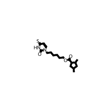 CC1CC(C)C(C(=O)OCCCCCCn2ccc(=S)[nH]c2=O)C1